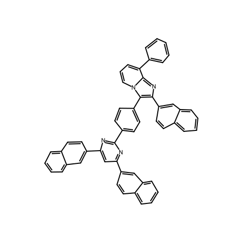 c1ccc(-c2cccn3c(-c4ccc(-c5nc(-c6ccc7ccccc7c6)cc(-c6ccc7ccccc7c6)n5)cc4)c(-c4ccc5ccccc5c4)nc23)cc1